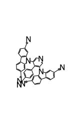 N#Cc1ccc(-c2c(-n3c4cc(C#N)ccc4c4ccc(C#N)cc43)cncc2-n2c3cc(C#N)ccc3c3ccc(C#N)cc32)cc1